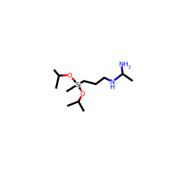 CC(N)NCCC[Si](C)(OC(C)C)OC(C)C